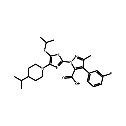 Cc1nn(-c2nc(N3CCC(C(C)C)CC3)c(SC(C)C)s2)c(C(=O)O)c1-c1cccc(F)c1